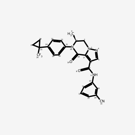 C[C@H]1Cn2ncc(C(=O)Nc3cccc(C#N)c3)c2C(=O)N1c1ccc(C2(C(F)(F)F)CC2)cc1